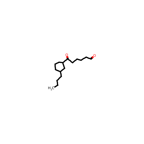 CCCCC1CCCC(C(=O)CCCCC=O)C1